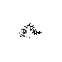 Cc1nc(OCCC(C)C2CCN(c3nc(C(C)C)no3)CC2)ccc1C(N)=O